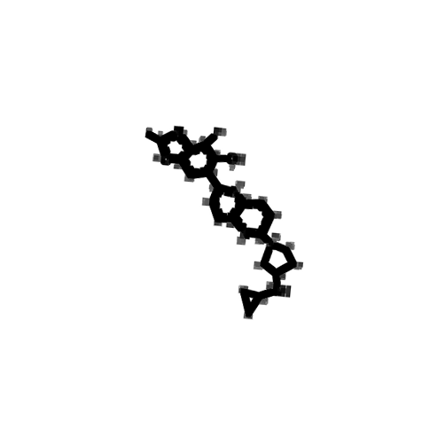 Cc1nc2c(F)c(O)c(-c3ccc4nc(N5CCC(NC6CC6)C5)ccc4n3)cc2o1